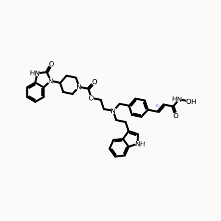 O=C(/C=C/c1ccc(CN(CCOC(=O)N2CCC(n3c(=O)[nH]c4ccccc43)CC2)CCc2c[nH]c3ccccc23)cc1)NO